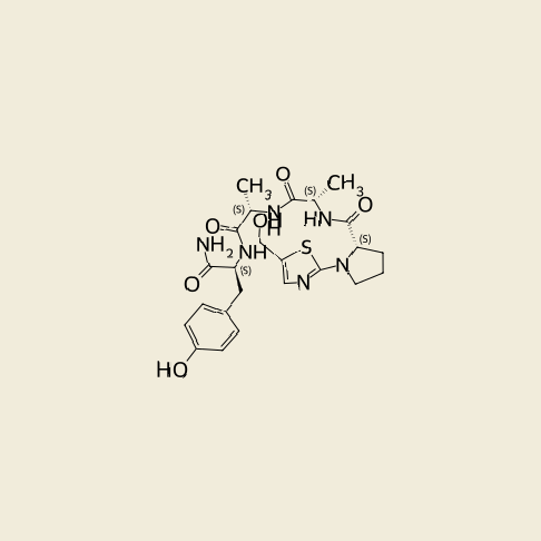 C[C@H](NC(=O)[C@H](C)NC(=O)[C@@H]1CCCN1c1ncc(CO)s1)C(=O)N[C@@H](Cc1ccc(O)cc1)C(N)=O